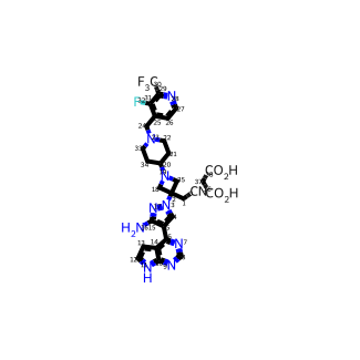 N#CCC1(n2cc(-c3ncnc4[nH]ccc34)c(N)n2)CN(C2CCN(Cc3ccnc(C(F)(F)F)c3F)CC2)C1.O=C(O)CC(=O)O